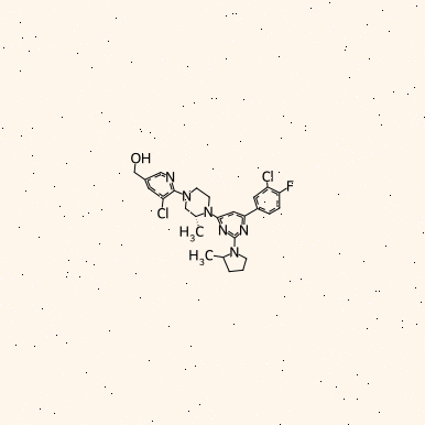 CC1CCCN1c1nc(-c2ccc(F)c(Cl)c2)cc(N2CCN(c3ncc(CO)cc3Cl)C[C@H]2C)n1